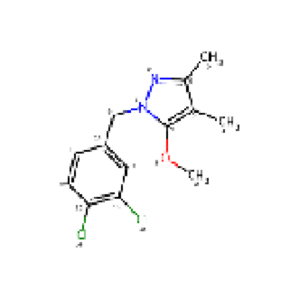 COc1c(C)c(C)nn1Cc1ccc(Cl)c(Cl)c1